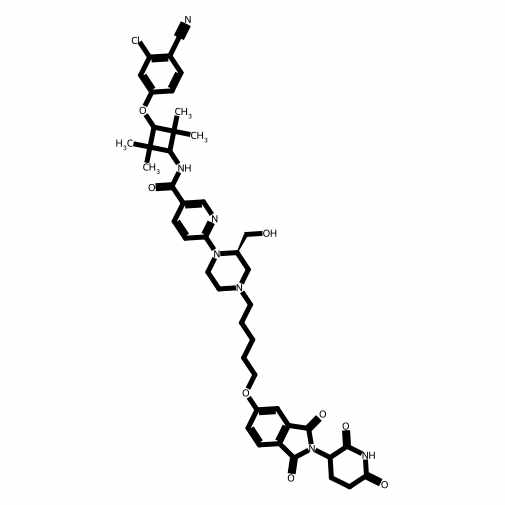 CC1(C)C(NC(=O)c2ccc(N3CCN(CCCCCOc4ccc5c(c4)C(=O)N(C4CCC(=O)NC4=O)C5=O)C[C@@H]3CO)nc2)C(C)(C)C1Oc1ccc(C#N)c(Cl)c1